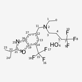 CCN(CC[C@@H](O)C(F)(F)F)Cc1cc(C(F)(F)F)c2oc(C(C)C)nc2c1